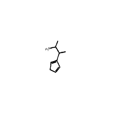 CC(N)C(C)C1=CCC=C1